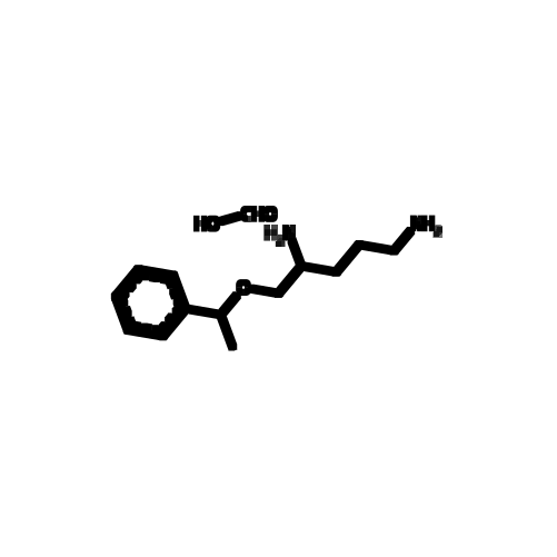 CC(OCC(N)CCCN)c1ccccc1.O=CO